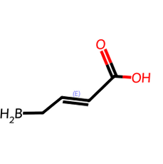 BC/C=C/C(=O)O